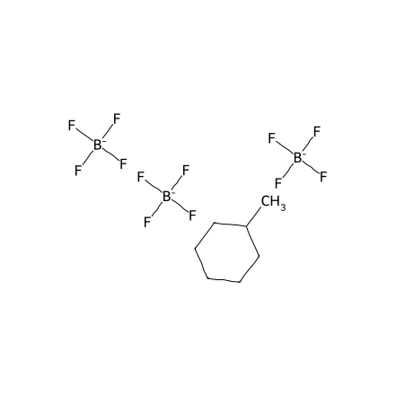 CC1CCCCC1.F[B-](F)(F)F.F[B-](F)(F)F.F[B-](F)(F)F